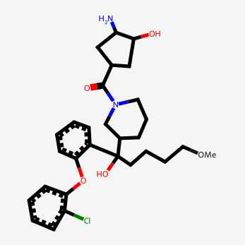 COCCCCC(O)(c1ccccc1Oc1ccccc1Cl)C1CCCN(C(=O)C2CC(N)C(O)C2)C1